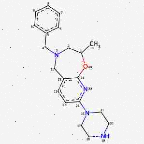 CC1CN(Cc2ccccc2)Cc2ccc(N3CCNCC3)nc2O1